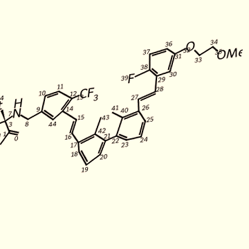 C=C(C)[C@](CC)(CO)NCc1ccc(C(F)(F)F)c(/C=C/c2cccc(-c3cccc(/C=C/c4cc(OCCOC)ccc4F)c3C)c2C)c1